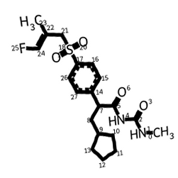 CNC(=O)NC(=O)C(CC1CCCC1)c1ccc(S(=O)(=O)CC(C)=CF)cc1